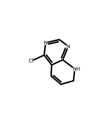 Clc1ncnc2c1C=CCN2